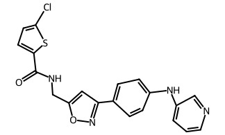 O=C(NCc1cc(-c2ccc(Nc3cccnc3)cc2)no1)c1ccc(Cl)s1